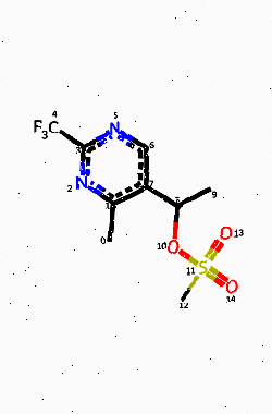 Cc1nc(C(F)(F)F)ncc1C(C)OS(C)(=O)=O